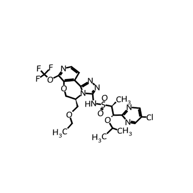 CCOC[C@H]1COc2c(ccnc2OC(F)(F)F)-c2nnc(NS(=O)(=O)[C@@H](C)[C@@H](OC(C)C)c3ncc(Cl)cn3)n21